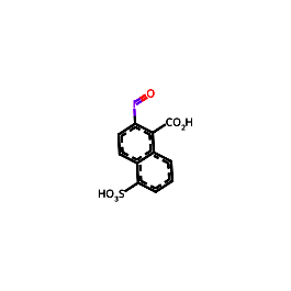 O=Ic1ccc2c(S(=O)(=O)O)cccc2c1C(=O)O